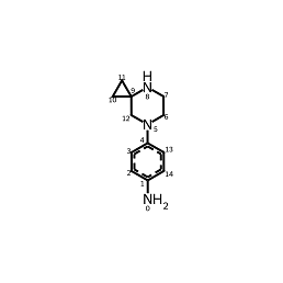 Nc1ccc(N2CCNC3(CC3)C2)cc1